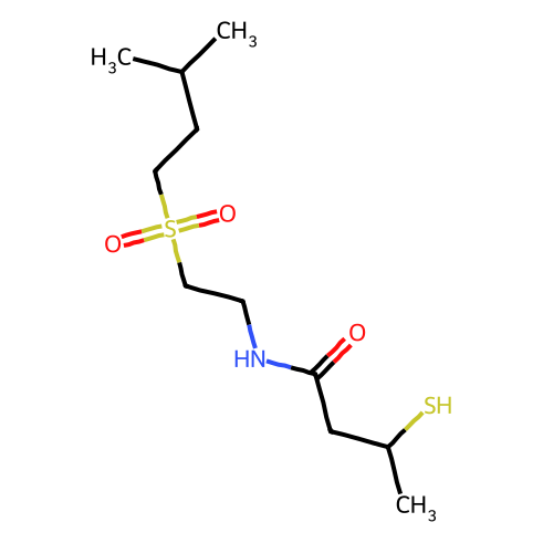 CC(C)CCS(=O)(=O)CCNC(=O)CC(C)S